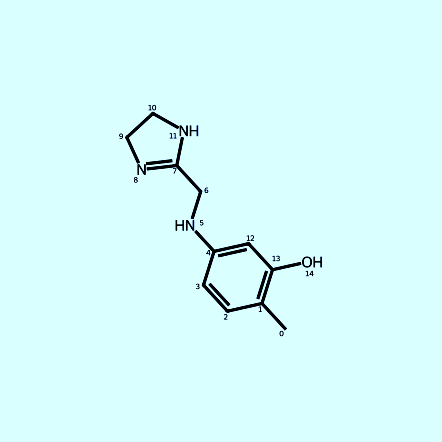 Cc1ccc(NCC2=NCCN2)cc1O